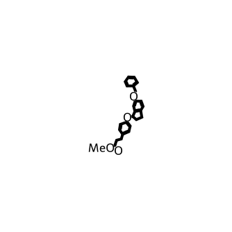 COC(=O)CCc1ccc(OC2CCc3ccc(OCc4ccccc4)cc32)cc1